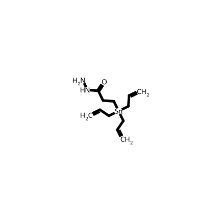 C=C[CH2][Sn]([CH2]C=C)([CH2]C=C)[CH2]CC(=O)NN